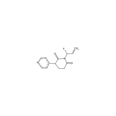 C=CC(F)N1C(=O)CCC(c2ccncc2)C1=O